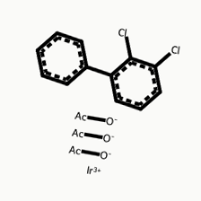 CC(=O)[O-].CC(=O)[O-].CC(=O)[O-].Clc1cccc(-c2ccccc2)c1Cl.[Ir+3]